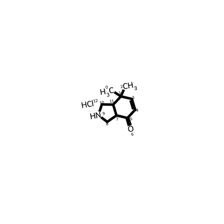 CC1(C)C=CC(=O)C2CNCC21.Cl